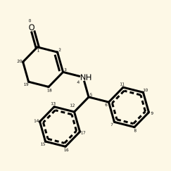 O=C1C=C(NC(c2ccccc2)c2ccccc2)CCC1